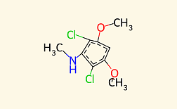 CNc1c(Cl)c(OC)cc(OC)c1Cl